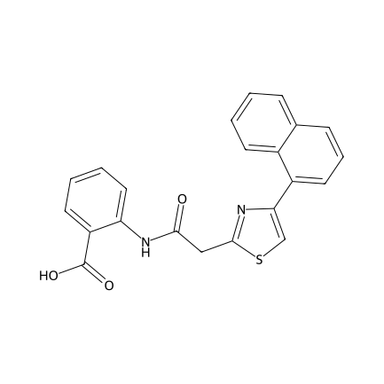 O=C(Cc1nc(-c2cccc3ccccc23)cs1)Nc1ccccc1C(=O)O